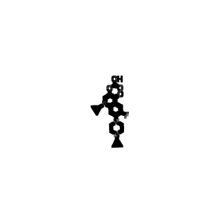 O=C(O)Oc1cn(C2CC2)c2cc(N3CCN(C4CC4)CC3)c(F)cc2c1=O